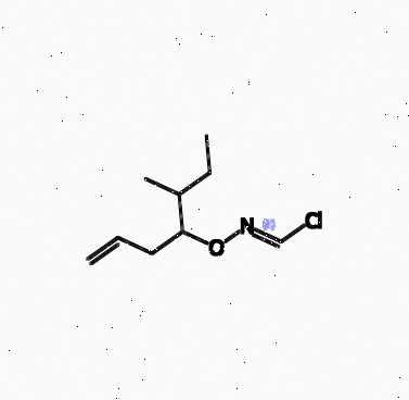 C=CCC(O/N=C/Cl)C(C)CC